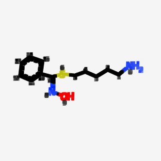 NCCCCCSC(=NO)c1ccccc1